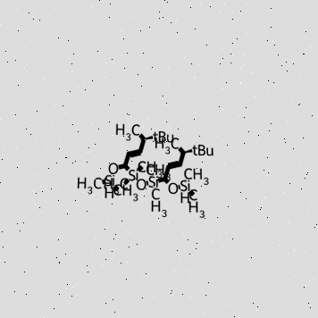 C[C@H](C=CC(O[SiH](C)C)[Si](C)(C)O[Si](C)(C)C(C=C[C@@H](C)C(C)(C)C)O[SiH](C)C)C(C)(C)C